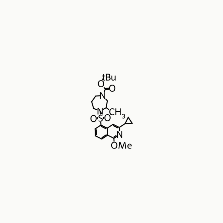 COc1nc(C2CC2)cc2c(S(=O)(=O)N3CCCN(C(=O)OC(C)(C)C)CC3C)cccc12